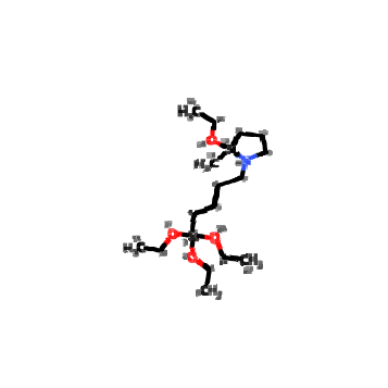 CCO[Si](CCCCN1CCC[Si]1(C)OCC)(OCC)OCC